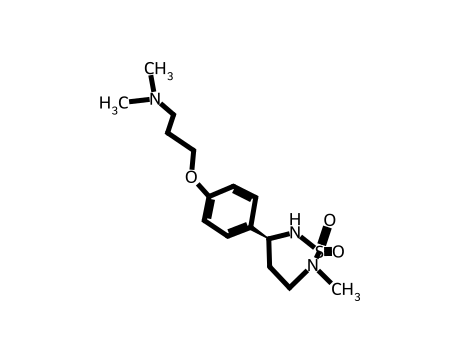 CN(C)CCCOc1ccc([C@@H]2CCN(C)S(=O)(=O)N2)cc1